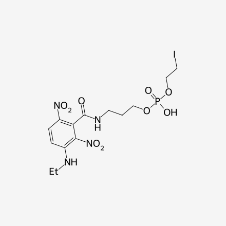 [CH2]CNc1ccc([N+](=O)[O-])c(C(=O)NCCCOP(=O)(O)OCCI)c1[N+](=O)[O-]